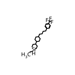 CCC[SiH]1CCC(C2CCC(CCCCc3ccc(C(F)(F)F)cc3)CC2)CC1